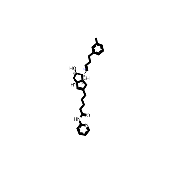 Cc1cccc(CC/C=C/[C@@H]2[C@H]3CC(CCCCC(=O)Nc4ccccn4)=C[C@H]3C[C@H]2O)c1